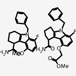 COC(=O)COc1ccc(F)c2c1c1c(n2Cc2ccccc2)CCCC1C(N)=O.COc1ccc(F)c2c1c1c(n2Cc2ccccc2)CCCC1C(N)=O